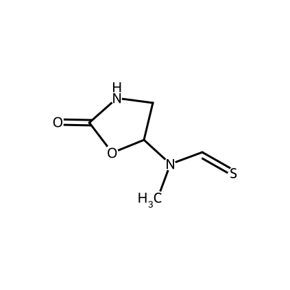 CN(C=S)C1CNC(=O)O1